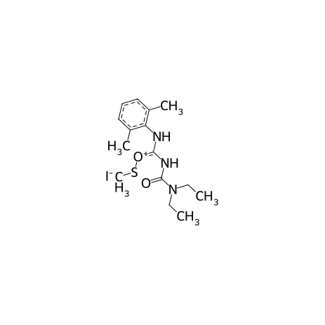 CCN(CC)C(=O)NC(Nc1c(C)cccc1C)=[O+]SC.[I-]